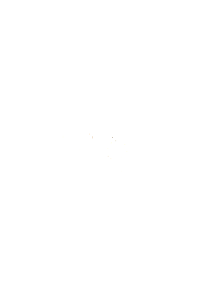 CCc1ccc(-c2nc(Cl)c(Cl)c(Cl)n2)cc1